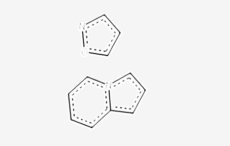 c1ccn2cccc2c1.c1cnoc1